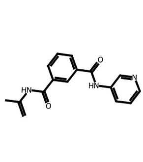 C=C(C)NC(=O)c1cccc(C(=O)Nc2cccnc2)c1